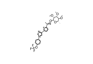 CO[C@@H]1[C@@H](OC)[C@H](C)O[C@@H](O/N=C(\C)c2ccc(-c3cn(-c4ccc(OC(F)(F)F)cc4)cn3)s2)[C@@H]1OC